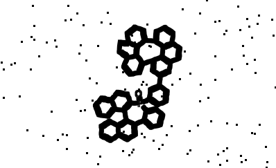 O=P1(c2cccc(-c3cc4ccc5cccc6c7cccc8ccc9cccc(c(c3)c4c56)c9c87)c2)c2ccccc2-c2ccc3ccccc3c2-c2c1ccc1ccccc21